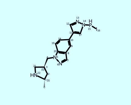 C[C@H]1C[C@H](Cn2ncc3cc(-c4cnn(PI)c4)ccc32)CN1